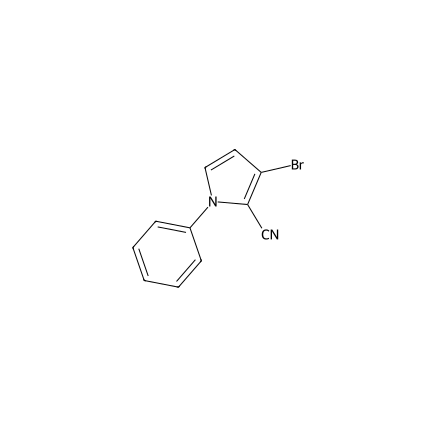 N#Cc1c(Br)ccn1-c1ccccc1